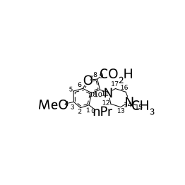 CCCc1cc(OC)cc2oc(C(=O)O)c(N3CCN(C)CC3)c12